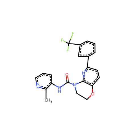 Cc1ncccc1NC(=O)N1CCOc2ccc(-c3cccc(C(F)(F)F)c3)nc21